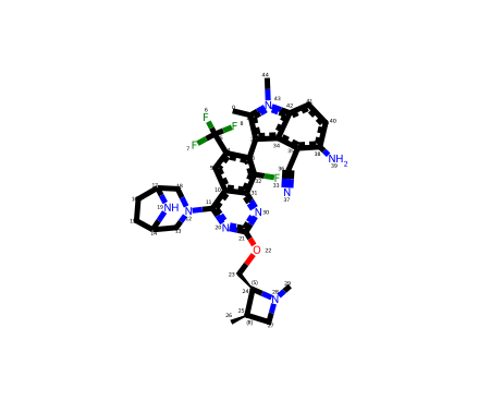 Cc1c(-c2c(C(F)(F)F)cc3c(N4CC5CCC(C4)N5)nc(OC[C@@H]4[C@H](C)CN4C)nc3c2F)c2c(C#N)c(N)ccc2n1C